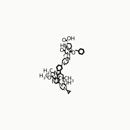 CCn1c(-c2cc(N3CCN(C4CC4)CC3)cnc2[C@H](C)OC)c(CC(C)(C)CO)c2cc(N3CCO[C@@H](C[C@H](NC(=O)OCc4ccccc4)C(=O)N4CCC[C@@H](C(=O)O)N4)C3)ccc21